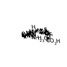 C[C@H](Oc1cc(N2CCN(CCNc3nc(N)n4nc(-c5ccco5)nc4n3)CC2)c(F)cc1F)C(=O)O